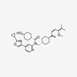 C=C(/C=C\C(OC)=C(C)C)[C@H]1CC[C@H](CN(c2cc(-c3coc(C4CC4)n3)ccn2)C(=O)[C@H]2CC[C@H](O)CC2)CC1